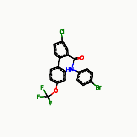 O=C(Nc1ccc(Br)cc1)c1cc(Cl)ccc1-c1ccc(OC(F)(F)F)cc1